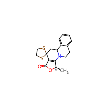 C[C@H]1OC(=O)C2=C1N1CCc3ccccc3C1CC21SCCS1